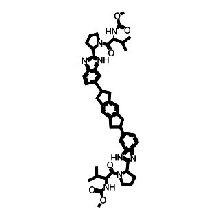 COC(=O)NC(C(=O)N1CCCC1c1nc2ccc(C3Cc4cc5c(cc4C3)CC(c3ccc4nc(C6CCCN6C(=O)[C@H](NC(=O)OC)C(C)C)[nH]c4c3)C5)cc2[nH]1)C(C)C